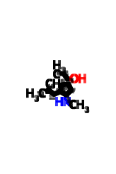 CCCO.CNC1CCCC1CC(C)C